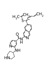 C=CC=C=C(SC(=C)C)c1ccc2cnc(NC(=O)c3ccnc(NC4CCNCC4)c3)cc2c1